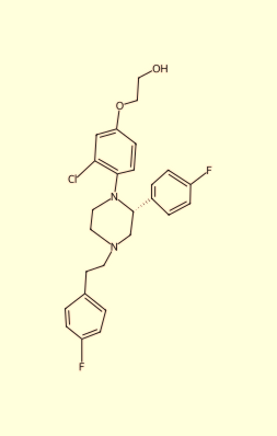 OCCOc1ccc(N2CCN(CCc3ccc(F)cc3)C[C@H]2c2ccc(F)cc2)c(Cl)c1